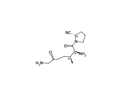 C[C@@H](CCC(=O)CN)[C@H](N)C(=O)N1CCC[C@H]1C#N